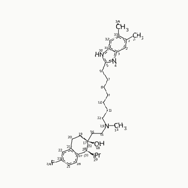 Cc1cc2nc(CCCCCCCN(C)CC[C@@]3(O)CCc4cc(F)ccc4[C@@H]3C(C)C)[nH]c2cc1C